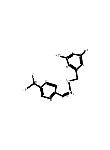 Fc1cc(F)cc(CO/N=[C]\c2ccc(C(F)F)cc2)c1